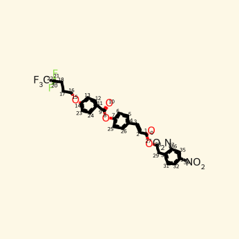 O=C(/C=C/c1ccc(OC(=O)c2ccc(OCCCC(F)(F)C(F)(F)F)cc2)cc1)OCCc1ccc([N+](=O)[O-])cc1[N+](=O)[O-]